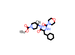 CC(C)(C)OC(=O)N1CCC(C#N)(NC(=O)C(CC2CCCCC2)NC(=O)N2CCOCC2)CC1